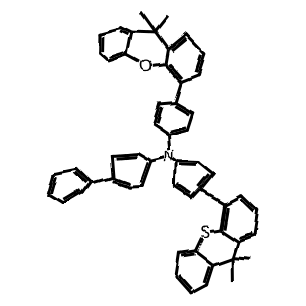 CC1(C)c2ccccc2Oc2c(-c3ccc(N(c4ccc(-c5ccccc5)cc4)c4ccc(-c5cccc6c5Sc5ccccc5C6(C)C)cc4)cc3)cccc21